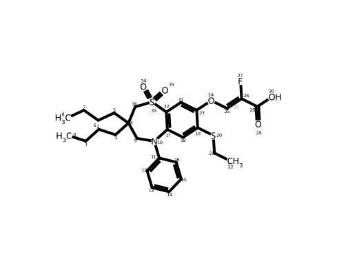 CCCCC1(CCCC)CN(c2ccccc2)c2cc(SCC)c(O/C=C(\F)C(=O)O)cc2S(=O)(=O)C1